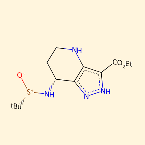 CCOC(=O)c1[nH]nc2c1NCC[C@H]2N[S@@+]([O-])C(C)(C)C